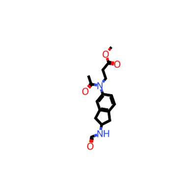 COC(=O)CCN(C(C)=O)c1ccc2c(c1)CC(NC=O)C2